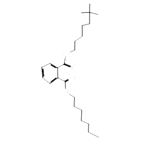 CCCCCCCOC(=O)c1ccccc1C(=O)OCCCCCC(C)(C)C